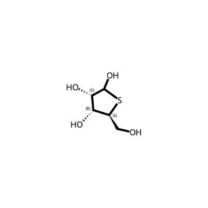 OC[C@@H]1SC(O)[C@@H](O)[C@H]1O